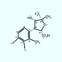 CCOC(=O)[C@H]1O[C@@](C)(C(F)(F)F)[C@@H](O)[C@H]1c1ccc(F)c(F)c1C